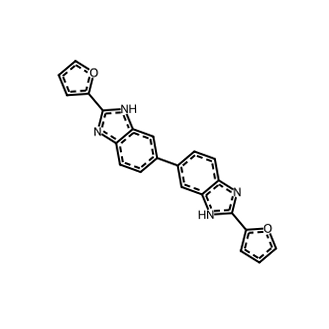 c1coc(-c2nc3ccc(-c4ccc5nc(-c6ccco6)[nH]c5c4)cc3[nH]2)c1